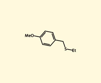 [CH2]CSCc1ccc(OC)cc1